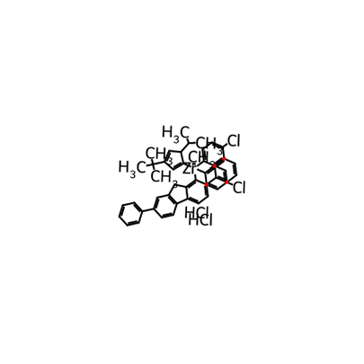 Cl.Cl.[CH2]=[Zr]([C]1=CC(C(C)(C)C)=CC1C(C)C)([c]1ccc(Cl)cc1)([c]1ccc(Cl)cc1)[c]1c(-c2ccccc2)ccc2c1Cc1cc(-c3ccccc3)ccc1-2